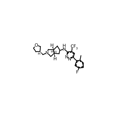 Cc1ccc(F)cc1-c1cc(C(F)(F)F)c(NC2C[C@@H]3CN(C[C@H]4CCOC4)C[C@@H]3C2)nn1